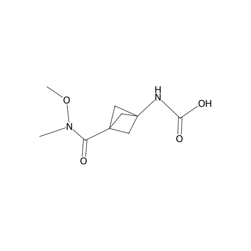 CON(C)C(=O)C12CC(NC(=O)O)(C1)C2